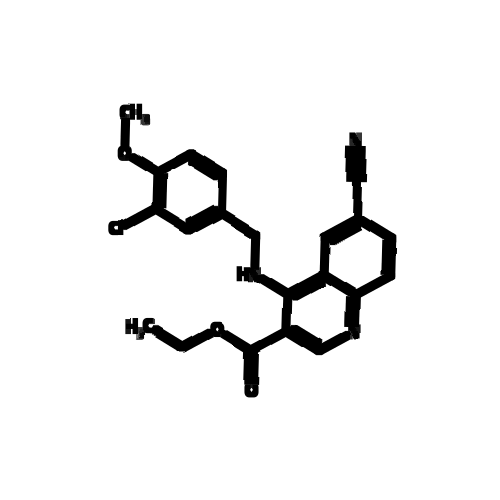 CCOC(=O)c1cnc2ccc(C#N)cc2c1NCc1ccc(OC)c(Cl)c1